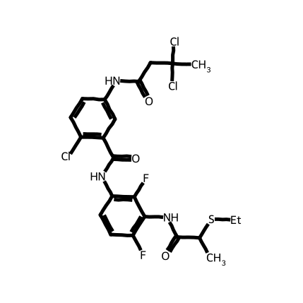 CCSC(C)C(=O)Nc1c(F)ccc(NC(=O)c2cc(NC(=O)CC(C)(Cl)Cl)ccc2Cl)c1F